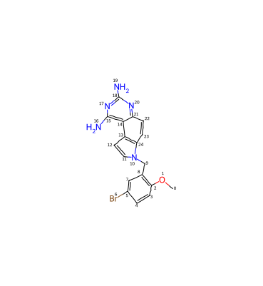 COc1ccc(Br)cc1Cn1ccc2c3c(N)nc(N)nc3ccc21